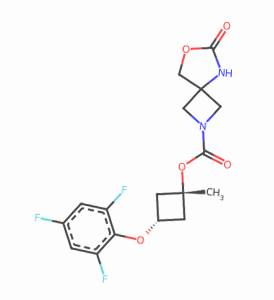 C[C@]1(OC(=O)N2CC3(COC(=O)N3)C2)C[C@@H](Oc2c(F)cc(F)cc2F)C1